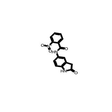 O=C1Cc2cc(NC(=O)c3ccccc3[N+](=O)[O-])ccc2N1